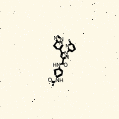 CC(=O)Nc1ccc(NC(=O)c2cc(-c3ccc4ncnn4c3)n(-c3cccc(C)n3)n2)cc1